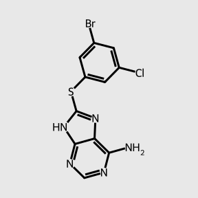 Nc1ncnc2[nH]c(Sc3cc(Cl)cc(Br)c3)nc12